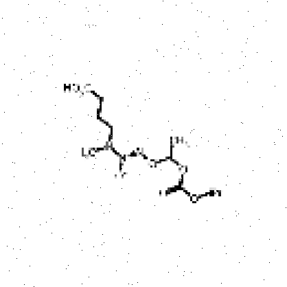 CC(C)OC(=O)OC(C)ON=[N+]([O-])N(C)CCCC(=O)O